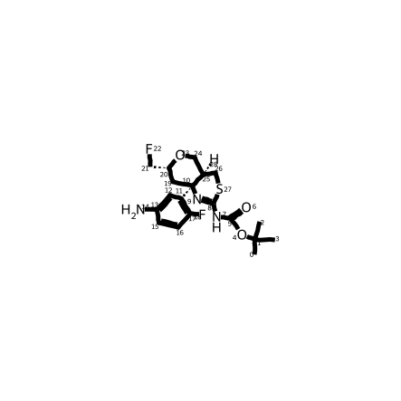 CC(C)(C)OC(=O)NC1=N[C@@]2(c3cc(N)ccc3F)C[C@H](CF)OC[C@H]2CS1